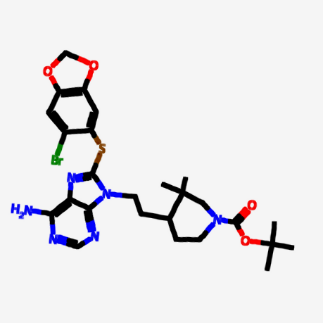 CC(C)(C)OC(=O)N1CCC(CCn2c(Sc3cc4c(cc3Br)OCO4)nc3c(N)ncnc32)C(C)(C)C1